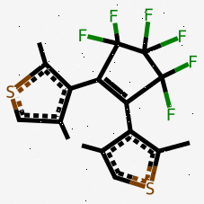 Cc1csc(C)c1C1=C(c2c(C)csc2C)C(F)(F)C(F)(F)C1(F)F